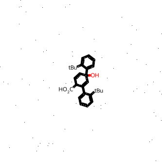 CC(C)(C)c1ccccc1C1=CC(O)(c2ccccc2C(C)(C)C)C=CC1C(=O)O